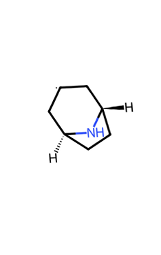 [CH]1C[C@@H]2CC[C@@H](C1)N2